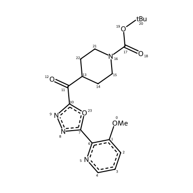 COc1cccnc1-c1nnc(C(=O)C2CCN(C(=O)OC(C)(C)C)CC2)o1